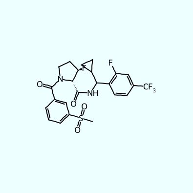 CS(=O)(=O)c1cccc(C(=O)N2CC[C@@H](F)[C@@H]2C(=O)NC(c2ccc(C(F)(F)F)cc2F)C2CC2)c1